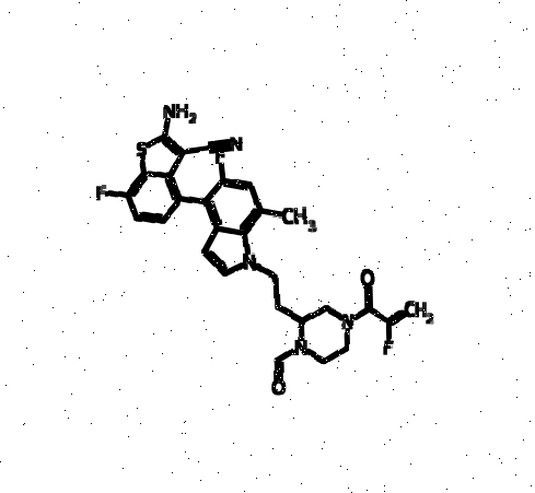 C=C(F)C(=O)N1CCN(C=O)C(CCn2ccc3c(-c4ccc(F)c5sc(N)c(C#N)c45)c(F)cc(C)c32)C1